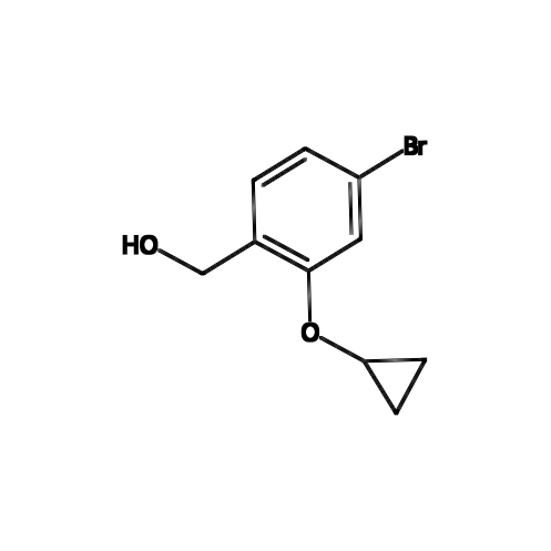 OCc1ccc(Br)cc1OC1CC1